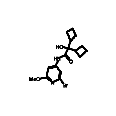 COc1cc(NC(=O)C(O)(C2CCC2)C2CCC2)cc(Br)n1